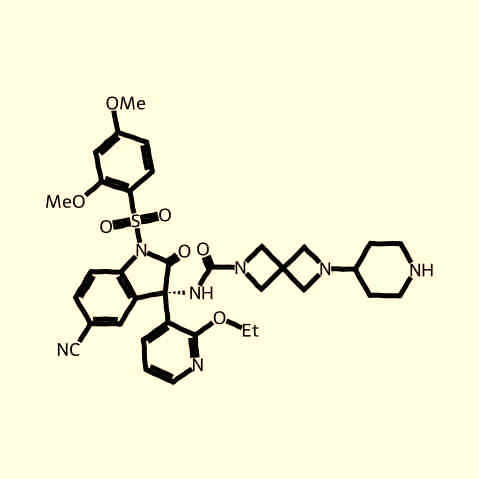 CCOc1ncccc1[C@]1(NC(=O)N2CC3(C2)CN(C2CCNCC2)C3)C(=O)N(S(=O)(=O)c2ccc(OC)cc2OC)c2ccc(C#N)cc21